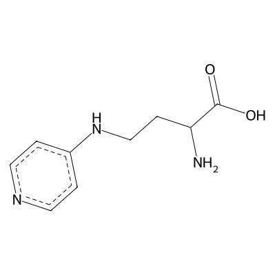 NC(CCNc1ccncc1)C(=O)O